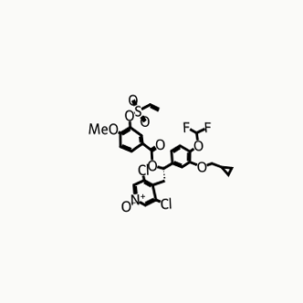 C=CS(=O)(=O)Oc1cc(C(=O)O[C@@H](Cc2c(Cl)c[n+]([O-])cc2Cl)c2ccc(OC(F)F)c(OCC3CC3)c2)ccc1OC